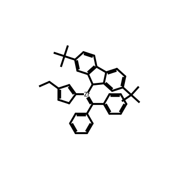 CCC1=CC[C]([Zr](=[C](c2ccccc2)c2ccccc2)[CH]2c3cc(C(C)(C)C)ccc3-c3ccc(C(C)(C)C)cc32)=C1